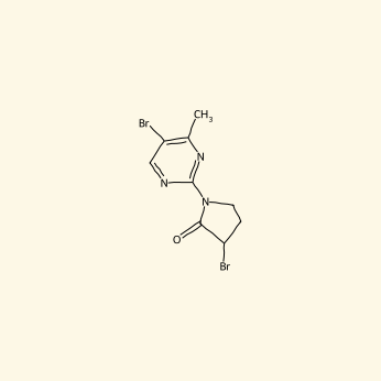 Cc1nc(N2CCC(Br)C2=O)ncc1Br